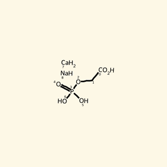 O=C(O)COP(=O)(O)O.[CaH2].[NaH]